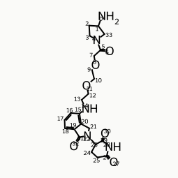 NC1CCN(C(=O)COCCOCCNc2cccc3c2CN(C2CCC(=O)NC2=O)C3=O)C1